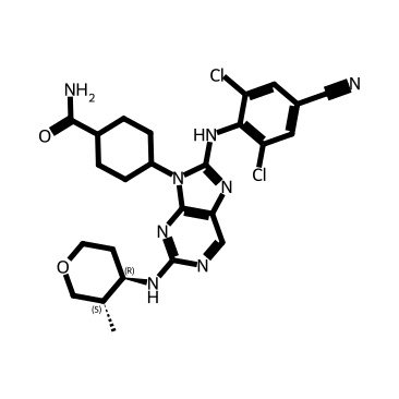 C[C@@H]1COCC[C@H]1Nc1ncc2nc(Nc3c(Cl)cc(C#N)cc3Cl)n(C3CCC(C(N)=O)CC3)c2n1